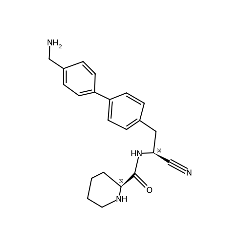 N#C[C@H](Cc1ccc(-c2ccc(CN)cc2)cc1)NC(=O)[C@@H]1CCCCN1